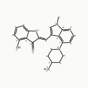 Cn1cc(C=C2Oc3cccc(O)c3C2=O)c2c(N3CCC(N)CC3)ccnc21